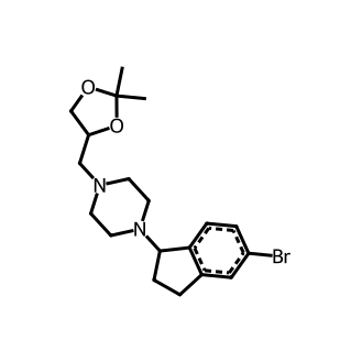 CC1(C)OCC(CN2CCN(C3CCc4cc(Br)ccc43)CC2)O1